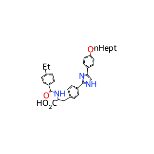 CCCCCCCOc1ccc(-c2c[nH]c(-c3ccc(C[C@H](NC(=O)c4ccc(CC)cc4)C(=O)O)cc3)n2)cc1